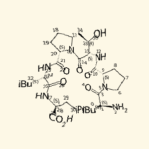 CC[C@H](C)[C@H](N)C(=O)N1CCC[C@H]1C(=O)N[C@H](C(=O)N1CCC[C@H]1C(=O)N[C@H](C(=O)N[C@@H](CC(C)C)C(=O)O)[C@@H](C)CC)[C@@H](C)O